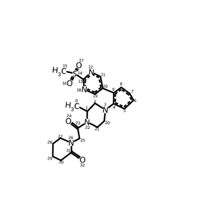 CC1CN(c2ccccc2-c2cnc(S(C)(=O)=O)nc2)CCN1C(=O)CN1CCCCC1=O